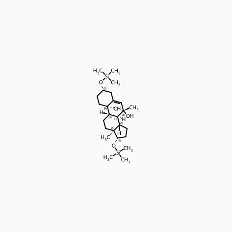 C[C@]12CC[C@H]3[C@H]([C@@H]1CC[C@@H]2O[Si](C)(C)C)[C@@](C)(O)C=C1C[C@@H](O[Si](C)(C)C)CC[C@@]13C